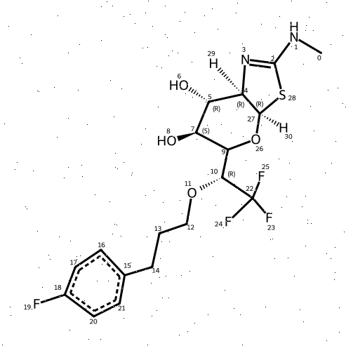 CNC1=N[C@@H]2[C@@H](O)[C@H](O)C([C@@H](OCCCc3ccc(F)cc3)C(F)(F)F)O[C@@H]2S1